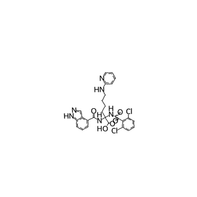 O=C(NC(CCCCNc1ccccn1)(NS(=O)(=O)c1c(Cl)cccc1Cl)C(=O)O)c1cccc2[nH]ncc12